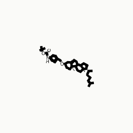 CC(C)CCCC(C)[C@H]1CCC2C3CC=C4C[C@@H](OCc5ccc(NC(=O)OC(C)(C)C)cc5)CC[C@]4(C)C3CC[C@@]21C